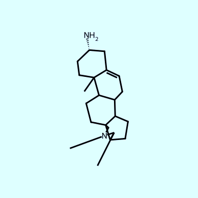 CC1C2CCC3C4CC=C5C[C@@H](N)CCC5(C)C4CCC32CN1C